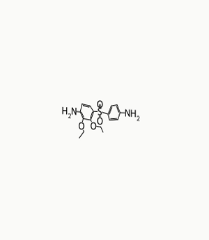 CCOc1c(N)ccc(S(=O)(=O)c2ccc(N)cc2)c1OCC